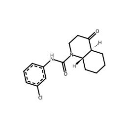 O=C1CCN(C(=O)Nc2cccc(Cl)c2)[C@H]2CCCC[C@H]12